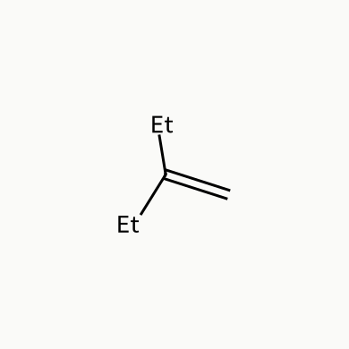 C=C(CC)CC